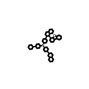 c1ccc(-c2ccc(N(c3ccc(-c4ccc5ccccc5c4)cc3)c3ccc(-c4ccc5ccccc5c4-c4cccc5c4oc4ccccc45)cc3)cc2)cc1